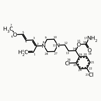 C=C/C(=C\C=C\OC)N1CCN(CCC(OC(N)=O)c2ccc(Cl)cc2Cl)CC1